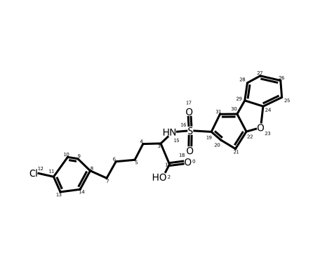 O=C(O)C(CCCCc1ccc(Cl)cc1)NS(=O)(=O)c1ccc2oc3ccccc3c2c1